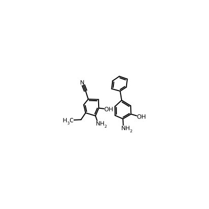 CCc1cc(C#N)cc(O)c1N.Nc1ccc(-c2ccccc2)cc1O